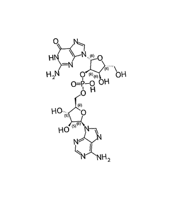 Nc1nc2c(ncn2[C@@H]2O[C@H](CO)[C@@H](O)[C@H]2OP(=O)(O)OC[C@H]2O[C@@H](n3cnc4c(N)ncnc43)[C@@H](O)[C@@H]2O)c(=O)[nH]1